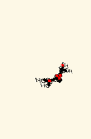 O=C(OCCCC(OCCO)OCCO)C1CCCCC1C(=O)OCCCC(OCCO)OCCO